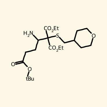 CCOC(=O)C(SCC1CCOCC1)(C(=O)OCC)C(N)CCC(=O)OC(C)(C)C